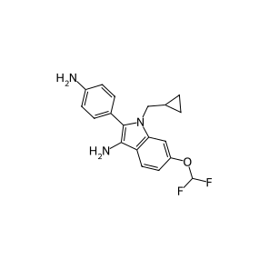 Nc1ccc(-c2c(N)c3ccc(OC(F)F)cc3n2CC2CC2)cc1